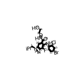 CC(C)Cn1cnc2c(F)c(Nc3ccc(Br)cc3Cl)c(C(=O)NOCCO)cc21